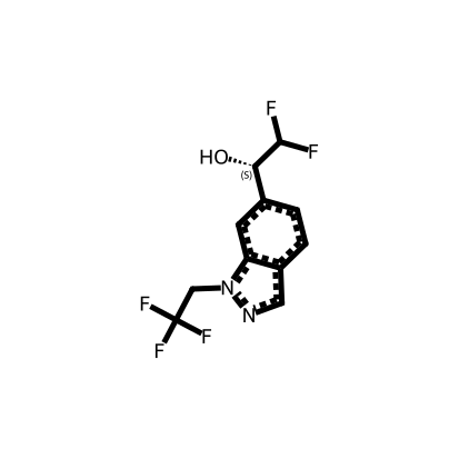 O[C@@H](c1ccc2cnn(CC(F)(F)F)c2c1)C(F)F